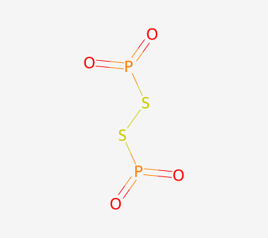 O=P(=O)SSP(=O)=O